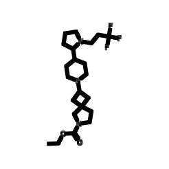 CCOC(=O)N1CCC2(CC(N3CCC(C4CCCN4CCC(F)(F)F)CC3)C2)C1